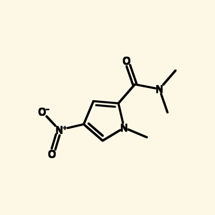 CN(C)C(=O)c1cc([N+](=O)[O-])cn1C